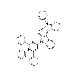 c1ccc(-c2cc(-n3c4ccccc4c4c5c6ccccc6n(-c6ccccc6)c5ccc43)nc(-c3ccccc3-c3ccccc3)n2)cc1